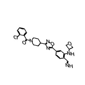 N=Cc1ccc(-c2nc(C3CCN(C(=O)c4ccccc4Cl)CC3)no2)cc1NC1COC1